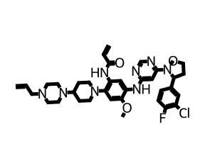 C=CCN1CCN(C2CCN(c3cc(OC)c(Nc4cc(N5OCCC5c5ccc(F)c(Cl)c5)ncn4)cc3NC(=O)C=C)CC2)CC1